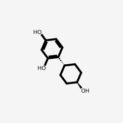 Oc1ccc([C@H]2CC[C@H](O)CC2)c(O)c1